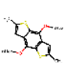 CCCCCCOc1c2cc(C)sc2c(OCCCCCC)c2cc(C)sc12